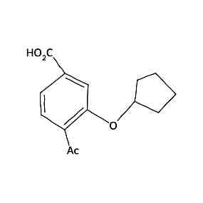 CC(=O)c1ccc(C(=O)O)cc1OC1CCCC1